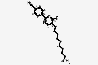 CCCCCCCCCCc1cnc(-c2ccc(C#N)cc2)nc1F